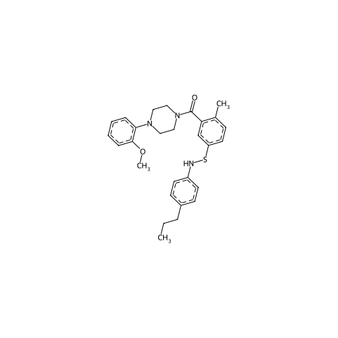 CCCc1ccc(NSc2ccc(C)c(C(=O)N3CCN(c4ccccc4OC)CC3)c2)cc1